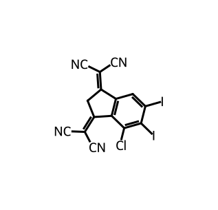 N#CC(C#N)=C1CC(=C(C#N)C#N)c2c1cc(I)c(I)c2Cl